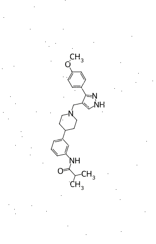 COc1ccc(-c2n[nH]cc2CN2CCC(c3cccc(NC(=O)C(C)C)c3)CC2)cc1